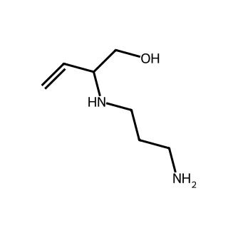 C=CC(CO)NCCCN